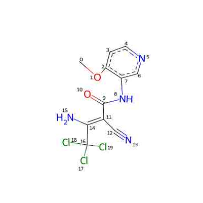 COc1ccncc1NC(=O)/C(C#N)=C(\N)C(Cl)(Cl)Cl